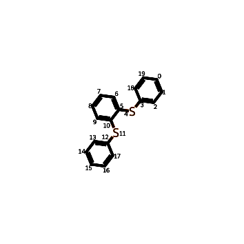 c1ccc(Sc2ccccc2Sc2ccccc2)cc1